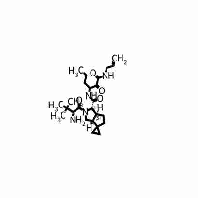 C=CCNC(=O)C(=O)C(CCC)NC(=O)[C@@H]1[C@H]2CCC3(CC3)[C@H]2CN1C(=O)[C@@H](N)C(C)(C)C